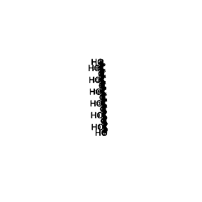 OC[C@H](O)COC[C@H](O)COC[C@H](O)COC[C@H](O)COC[C@@H](O)COC[C@@H](O)CO